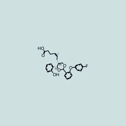 O=C(O)CC/C=C\C[C@@H]1COC(c2ccccc2Oc2ccc(F)cc2)O[C@@H]1c1ccccc1O